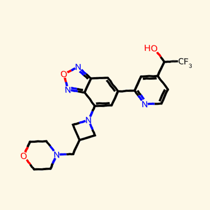 OC(c1ccnc(-c2cc(N3CC(CN4CCOCC4)C3)c3nonc3c2)c1)C(F)(F)F